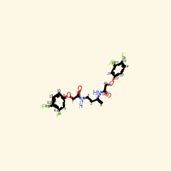 C=C(CCNC(=O)COc1ccc(F)c(F)c1)NC(=O)COc1ccc(F)c(F)c1